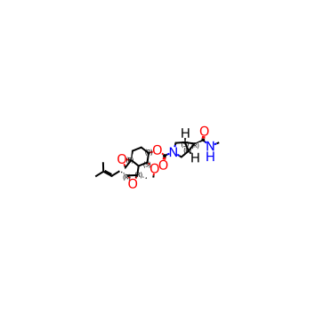 CNC(=O)[C@H]1[C@@H]2CN(C(=O)O[C@@H]3CC[C@]4(CO4)C([C@@]4(C)O[C@@H]4CC=C(C)C)[C@@H]3OC)C[C@@H]21